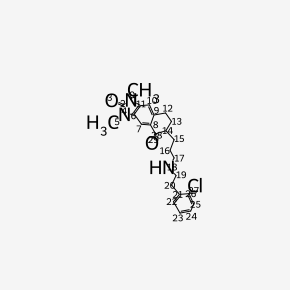 Cn1c(=O)n(C)c2cc3c(cc21)CCC(CCCNCCc1ccccc1Cl)C3=O